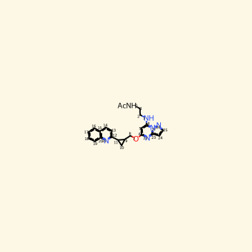 CC(=O)NCCNc1cc(OCC2CC2c2ccc3ccccc3n2)nc2ccnn12